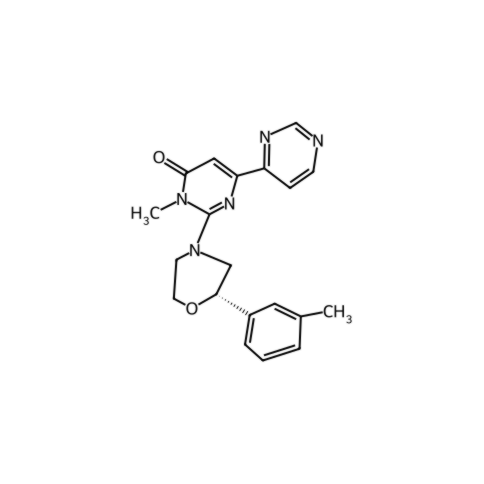 Cc1cccc([C@H]2CN(c3nc(-c4ccncn4)cc(=O)n3C)CCO2)c1